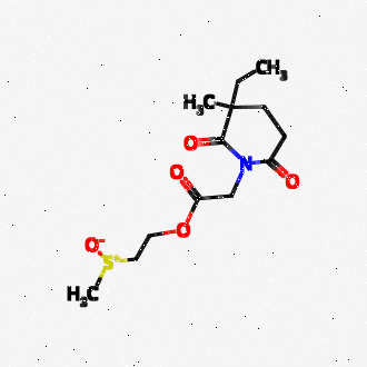 CCC1(C)CCC(=O)N(CC(=O)OCC[S+](C)[O-])C1=O